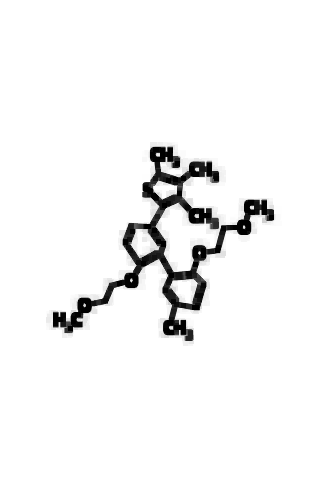 COCCOc1ccc(C)cc1-c1cc(-c2sc(C)c(C)c2C)ccc1OCCOC